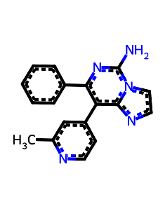 Cc1cc(-c2c(-c3ccccc3)nc(N)n3ccnc23)ccn1